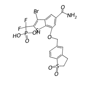 NC(=O)c1cc(OCc2ccc3c(c2)CCS3(=O)=O)c2sc(C(F)(F)P(=O)(O)O)c(Br)c2c1